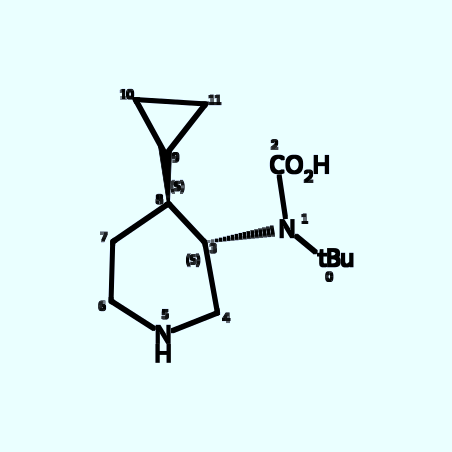 CC(C)(C)N(C(=O)O)[C@@H]1CNCC[C@H]1C1CC1